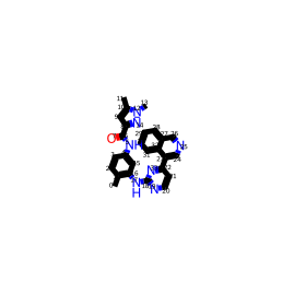 Cc1ccc(NC(=O)c2cc(C)n(C)n2)cc1Nc1nccc(-c2cncc3ccccc23)n1